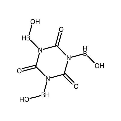 O=c1n(BO)c(=O)n(BO)c(=O)n1BO